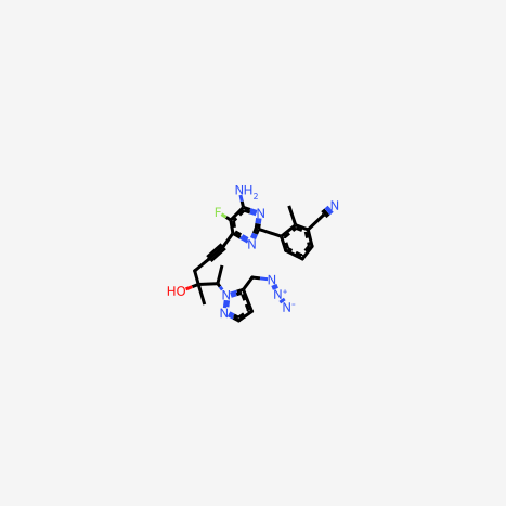 Cc1c(C#N)cccc1-c1nc(N)c(F)c(C#CCC(C)(O)C(C)n2nccc2CN=[N+]=[N-])n1